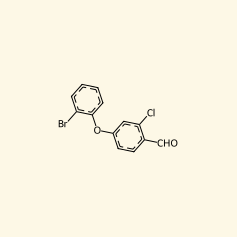 O=Cc1ccc(Oc2ccccc2Br)cc1Cl